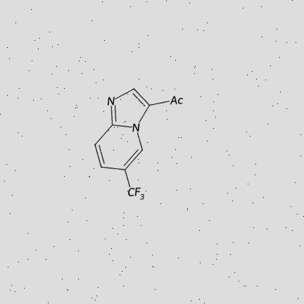 CC(=O)c1cnc2ccc(C(F)(F)F)cn12